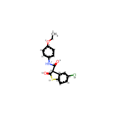 CCOc1ccc(NC(=O)C2C(=O)Sc3ccc(Cl)cc32)cc1